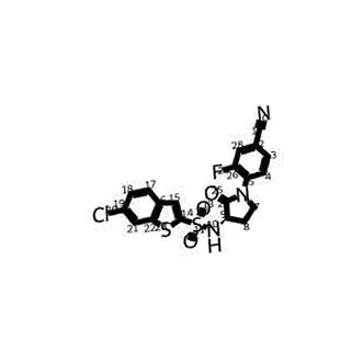 N#Cc1ccc(N2CC[C@H](NS(=O)(=O)c3cc4ccc(Cl)cc4s3)C2=O)c(F)c1